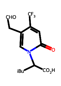 CCC(C)C(C(=O)O)n1cc(CC=O)c(C(F)(F)F)cc1=O